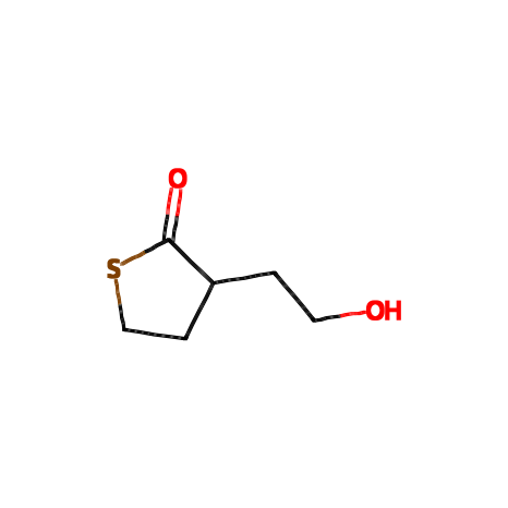 O=C1SCCC1CCO